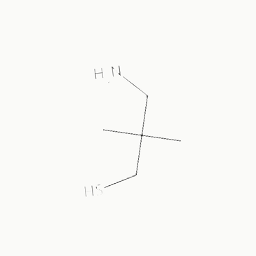 CC(C)(CN)CS